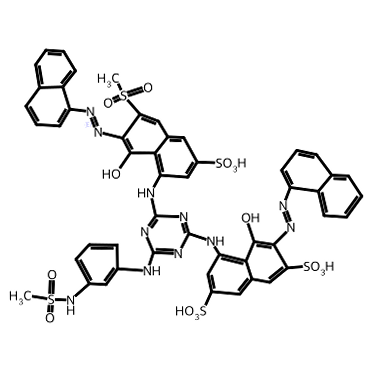 CS(=O)(=O)Nc1cccc(Nc2nc(Nc3cc(S(=O)(=O)O)cc4cc(S(=O)(=O)O)c(N=Nc5cccc6ccccc56)c(O)c34)nc(Nc3cc(S(=O)(=O)O)cc4cc(S(C)(=O)=O)c(/N=N/c5cccc6ccccc56)c(O)c34)n2)c1